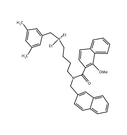 CC[N+](CC)(CCCCN(Cc1ccc2ccccc2c1)C(=O)c1ccc2ccccc2c1OC)Cc1cc(C)cc(C)c1